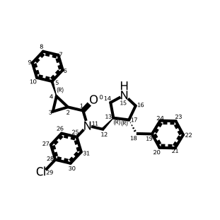 O=C(C1C[C@H]1c1ccccc1)N(C[C@H]1CNC[C@@H]1Cc1ccccc1)c1ccc(Cl)cc1